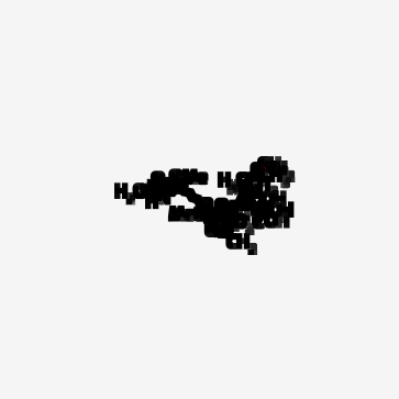 C=C1C[C@H]2C=Nc3cc(OCCCCCOc4cc5c(cc4OC)C(=O)N4CC(=C)C[C@H]4C(O)N5C(=O)OCc4ccc(O[C@@H]5O[C@H](C(=O)O)[C@@H](O)[C@H](O)[C@H]5O)c(C(=O)NC(C)(C)CCOC(C)(C)N)c4)c(OC)cc3C(=O)N2C1